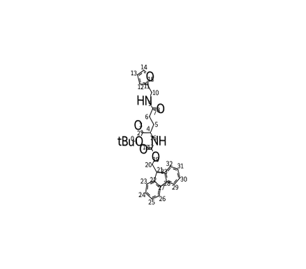 CC(C)(C)OC(=O)C(CCC(=O)NCc1ccco1)NC(=O)OCC1c2ccccc2-c2ccccc21